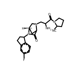 N#CC1CCCN1C(=O)C(N)CN1C[C@@H]2CC1C(=O)N2C1CCc2cc(F)ccc21